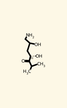 CC(C)C(=O)[C@@H](O)CC(O)CN